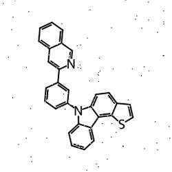 c1cc(-c2cc3ccccc3cn2)cc(-n2c3ccccc3c3c4sccc4ccc32)c1